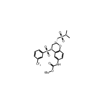 CN(C)S(=O)(=O)C[C@H]1CN(S(=O)(=O)c2cccc(C(F)(F)F)c2)c2cc(NC(=O)OC(C)(C)C)ccc2O1